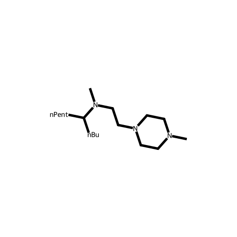 CCCCCC(CCCC)N(C)CCN1CCN(C)CC1